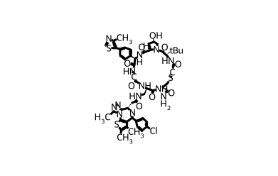 Cc1ncsc1-c1ccc([C@H]2NC(=O)[C@@H]3C[C@H](O)CN3C(=O)[C@H](C(C)(C)C)NC(=O)CSC[C@H](C(N)=O)NC(=O)[C@@H](CNC(=O)C[C@@H]3N=C(c4ccc(Cl)cc4)c4c(sc(C)c4C)-n4c(C)nnc43)NC(=O)CNC2=O)cc1